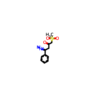 CS(=O)(=O)CC(=O)CC(=[N+]=[N-])c1ccccc1